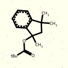 CC(C)(C)C(=O)OC1(C)CC(C)(C)c2ccccc21